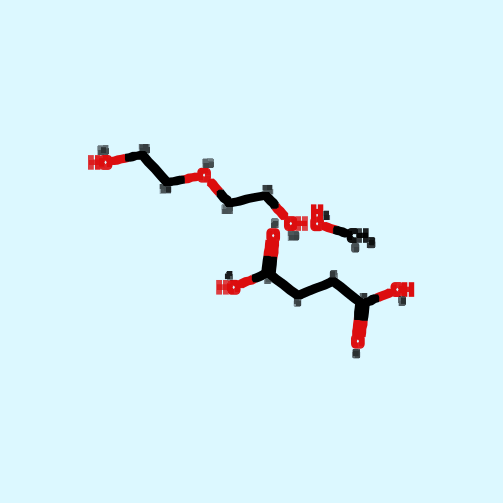 CO.O=C(O)CCC(=O)O.OCCOCCO